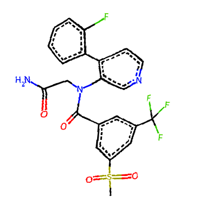 CS(=O)(=O)c1cc(C(=O)N(CC(N)=O)c2cnccc2-c2ccccc2F)cc(C(F)(F)F)c1